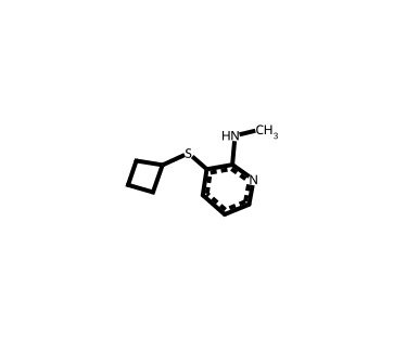 CNc1ncccc1SC1CCC1